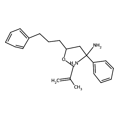 C=C(C)COC(CCCc1ccccc1)CC(N)(N)c1ccccc1